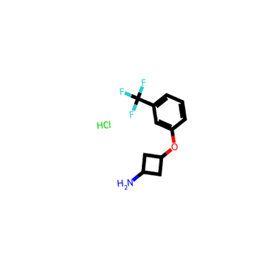 Cl.NC1CC(Oc2cccc(C(F)(F)F)c2)C1